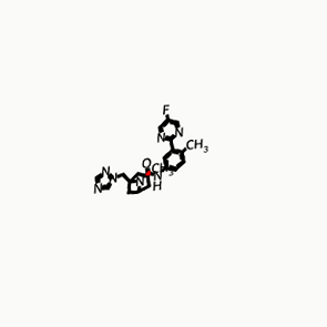 Cc1ccc(NC(=O)N2C3CC(C)CC2(Cn2cncn2)C3)cc1-c1ncc(F)cn1